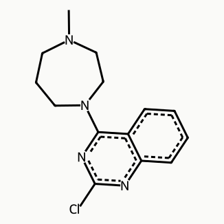 CN1CCCN(c2nc(Cl)nc3ccccc23)CC1